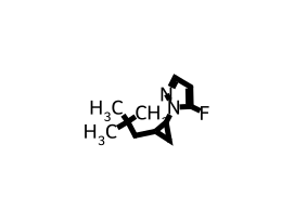 CC(C)(C)CC1CC1n1nccc1F